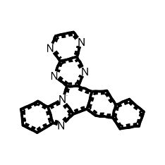 c1ccc2cc3c(cc2c1)c1nc2nccnc2nc1n1c2ccccc2nc31